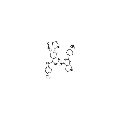 CS(=O)(=O)c1cccnc1N1CCc2c(ncnc2Nc2ccc(C(F)(F)F)cc2)C1.Nc1nc(-c2ccc(C(F)(F)F)cc2)nc2c1CCNC2